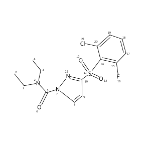 CCN(CC)C(=O)n1ccc(S(=O)(=O)c2c(F)cccc2Cl)n1